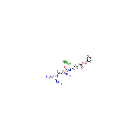 Cl.Cl.Cl.NCCN(CCN)C(=O)CC[C@H](N)C(=O)NCCCCCC(=O)OCc1ccccc1